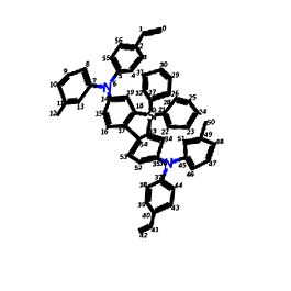 C=Cc1ccc(N(c2cccc(C)c2)c2ccc3c(c2)[Si](c2ccccc2)(c2ccccc2)c2cc(N(c4ccc(C=C)cc4)c4cccc(C)c4)ccc2-3)cc1